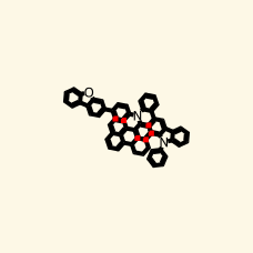 c1ccc(-n2c3ccccc3c3cc(-c4ccccc4N(c4ccc(-c5ccc6c(c5)oc5ccccc56)cc4)c4ccccc4-c4cccc5cccc(C6CCCCC6)c45)ccc32)cc1